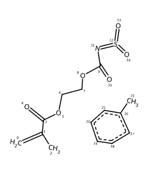 C=C(C)C(=O)OCCOC(=O)N=S(=O)=O.Cc1ccccc1